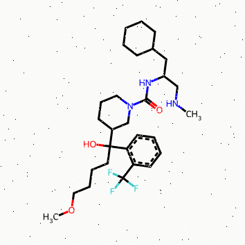 CNCC(CC1CCCCC1)NC(=O)N1CCCC(C(O)(CCCCOC)c2ccccc2C(F)(F)F)C1